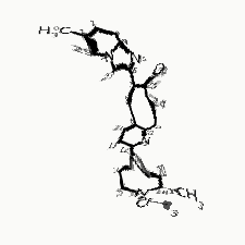 Cc1ccc2nc(C3=CC4=CCC(N5CCN(C)[C@@H](C)C5)N=C4CCC3=O)cn2c1